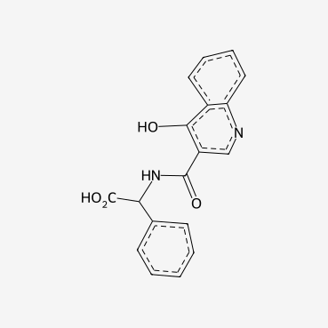 O=C(NC(C(=O)O)c1ccccc1)c1cnc2ccccc2c1O